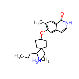 CCCC(N)C1(CC)CCC(Oc2cc3cc[nH]c(=O)c3cc2C)CC1